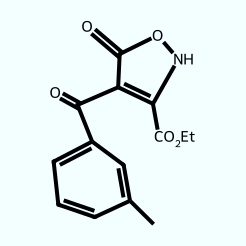 CCOC(=O)c1[nH]oc(=O)c1C(=O)c1cccc(C)c1